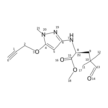 C#CCOc1cc(N[C@@H](CC(C)(C)C=O)C(=O)OC)nn1C